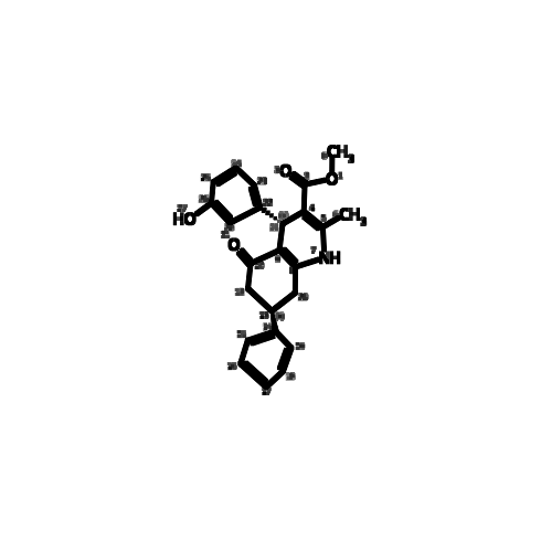 COC(=O)C1=C(C)NC2=C(C(=O)C[C@H](c3ccccc3)C2)[C@@H]1c1cccc(O)c1